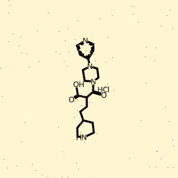 Cl.O=C(O)C(CCC1CCNCC1)C(=O)N1CCN(c2ccncc2)CC1